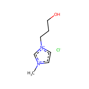 Cn1cc[n+](CCCO)c1.[Cl-]